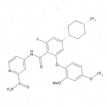 COc1cc(OC(F)(F)F)ccc1Oc1cc([C@H]2CC[C@@H](C(F)(F)F)CC2)cc(F)c1C(=O)Nc1ccnc(C(N)=O)c1